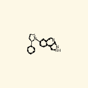 c1ccc(C2CCSN2c2ccc3c(cnc4n[nH]cc43)c2)cc1